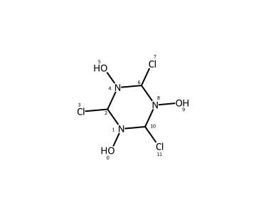 ON1C(Cl)N(O)C(Cl)N(O)C1Cl